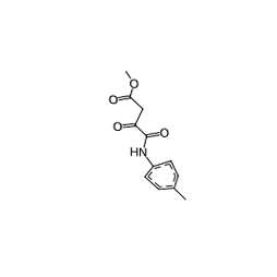 COC(=O)CC(=O)C(=O)Nc1ccc(C)cc1